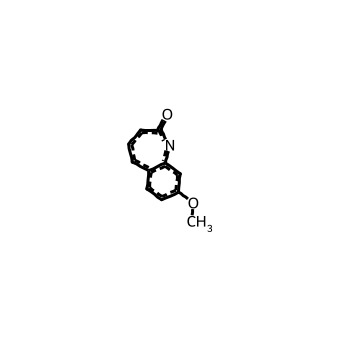 COc1ccc2cccc(=O)nc2c1